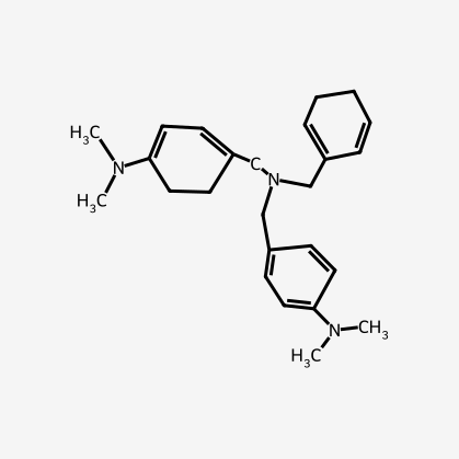 CN(C)C1=CC=C(CN(CC2=CCCC=C2)Cc2ccc(N(C)C)cc2)CC1